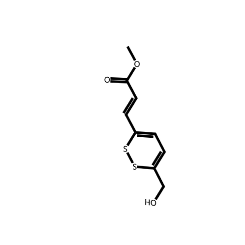 COC(=O)C=CC1=CC=C(CO)SS1